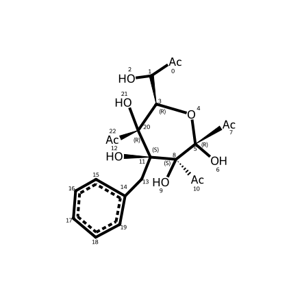 CC(=O)C(O)[C@H]1O[C@@](O)(C(C)=O)[C@](O)(C(C)=O)[C@](O)(Cc2ccccc2)[C@@]1(O)C(C)=O